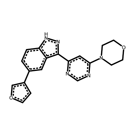 c1nc(-c2n[nH]c3ccc(-c4ccoc4)cc23)cc(N2CCOCC2)n1